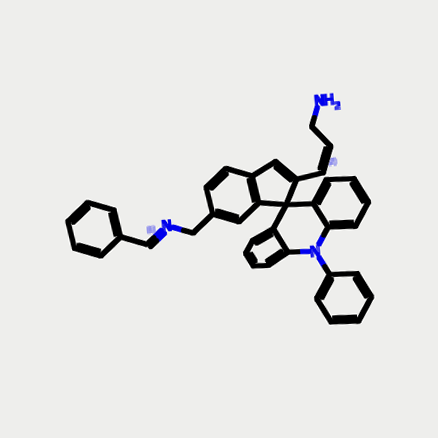 NC/C=C\C1=Cc2ccc(C/N=C/c3ccccc3)cc2C12c1ccccc1N(c1ccccc1)c1ccccc12